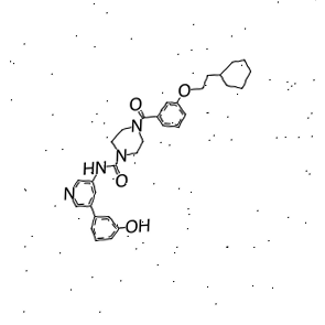 O=C(Nc1cncc(-c2cccc(O)c2)c1)N1CCN(C(=O)c2cccc(OCCC3CCCCC3)c2)CC1